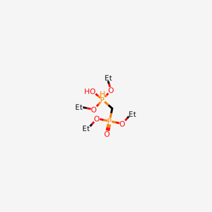 CCOP(=O)(C[PH](O)(OCC)OCC)OCC